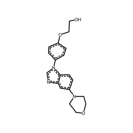 OCCOc1ccc(-n2cnc3cc(N4CCOCC4)ccc32)cc1